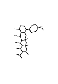 COC1CCC(C2CCC(C)C3C(C)C4C(C)C5(C)C(C)C(C(C)C)C(C)CC5(C)CC4(C)CC23)CC1